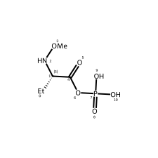 CC[C@H](NOC)C(=O)OP(=O)(O)O